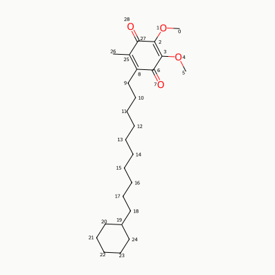 COC1=C(OC)C(=O)C(CCCCCCCCCCC2CCCCC2)=C(C)C1=O